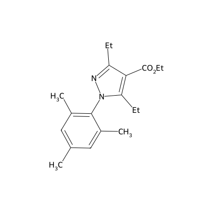 CCOC(=O)c1c(CC)nn(-c2c(C)cc(C)cc2C)c1CC